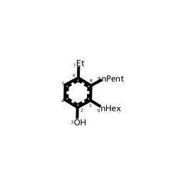 CCCCCCc1c(O)ccc(CC)c1CCCCC